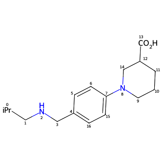 CC(C)CNCc1ccc(N2CCCC(C(=O)O)C2)cc1